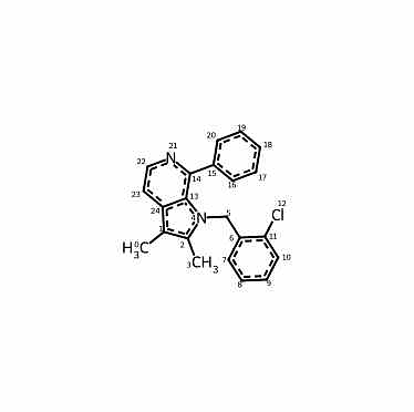 Cc1c(C)n(Cc2ccccc2Cl)c2c(-c3ccccc3)nccc12